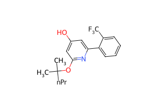 CCCC(C)(C)Oc1cc(O)cc(-c2ccccc2C(F)(F)F)n1